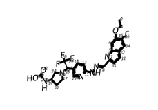 CCOc1cc2nc(C=NNc3ccc([C@@H](N4CCC(NC(=O)O)C4)C(F)(F)F)cn3)ccc2cc1F